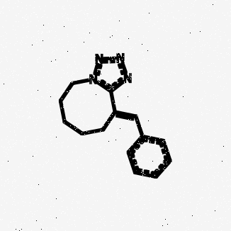 C(=C1CCCCCn2nnnc21)c1ccccc1